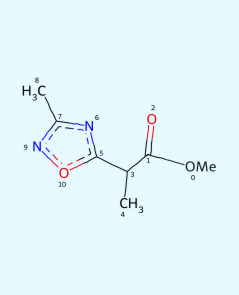 COC(=O)C(C)c1nc(C)no1